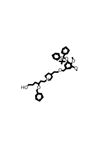 COc1cc(COCCC2CCN(CCC(CCCO)OCc3ccccc3)CC2)cc(O[Si](c2ccccc2)(c2ccccc2)C(C)(C)C)c1OC